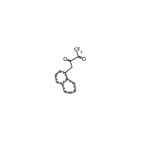 O=C(Cc1cccc2ccccc12)C(=O)C(F)(F)F